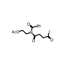 CC(=O)OCCN(C(=O)CCC(=O)I)C(=O)C(C)C